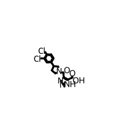 O=C(O)c1[nH]nnc1C(=O)N1CCC(c2ccc(Cl)c(Cl)c2)C1